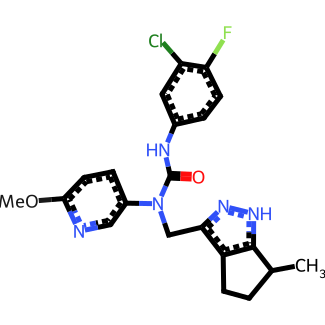 COc1ccc(N(Cc2n[nH]c3c2CCC3C)C(=O)Nc2ccc(F)c(Cl)c2)cn1